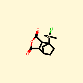 C[Si](C)(Cl)C12CCC(C1)C1C(=O)OC(=O)C12